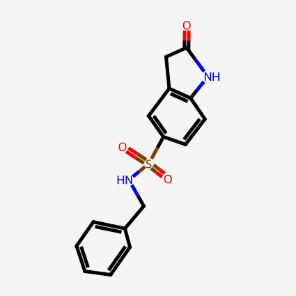 O=C1Cc2cc(S(=O)(=O)NCc3ccccc3)ccc2N1